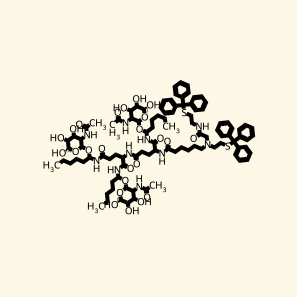 CCCCCC(NC(=O)CCC(NC(=O)CCC(NC(=O)CCCCCN(CCSC(c1ccccc1)(c1ccccc1)c1ccccc1)CC(=O)NCCSC(c1ccccc1)(c1ccccc1)c1ccccc1)C(=O)NC(CCCCC)OC1O[C@H](O)C(O)C(O)C1NC(C)=O)C(=O)NC(CCCCC)OC1O[C@H](O)C(O)C(O)C1NC(C)=O)OC1O[C@H](O)C(O)C(O)C1NC(C)=O